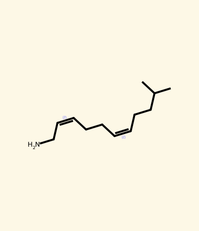 CC(C)CC/C=C\CC/C=C\CN